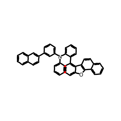 c1ccc(N(c2cccc(-c3ccc4ccccc4c3)c2)c2ccccc2-c2cccc3oc4c5ccccc5ccc4c23)cc1